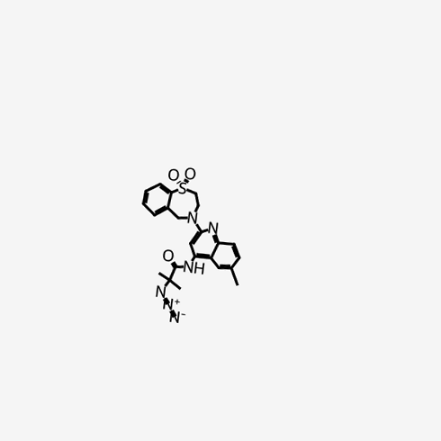 Cc1ccc2nc(N3CCS(=O)(=O)c4ccccc4C3)cc(NC(=O)C(C)(C)N=[N+]=[N-])c2c1